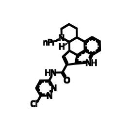 CCCN1CCCC2c3cccc4[nH]c5c(c34)C(C=C5C(=O)Nc3ccc(Cl)nn3)[C@H]21